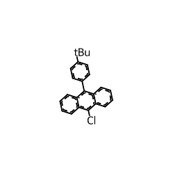 CC(C)(C)c1ccc(-c2c3ccccc3c(Cl)c3ccccc23)cc1